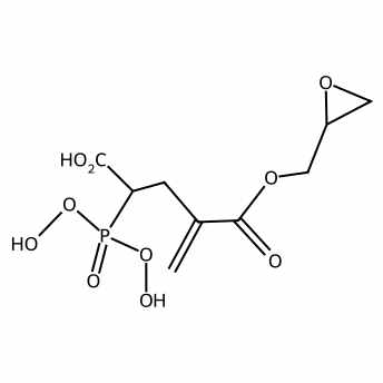 C=C(CC(C(=O)O)P(=O)(OO)OO)C(=O)OCC1CO1